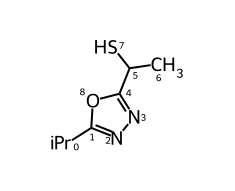 CC(C)c1nnc(C(C)S)o1